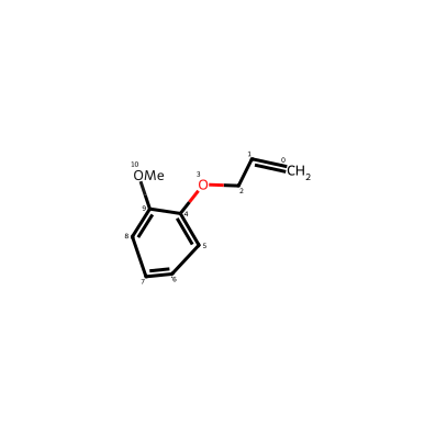 C=CCOc1c[c]ccc1OC